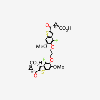 COc1cc2sc(C(=O)[C@@H]3C[C@H]3C(=O)O)cc2c(F)c1OCCCOc1c(OC)cc2sc(C(=O)[C@@H]3C[C@H]3C(=O)O)cc2c1F